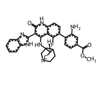 COC(=O)c1ccc(-c2ccc3[nH]c(=O)c(-c4nc5ccccc5[nH]4)c(N[C@H]4CN5CCC4CC5)c3c2F)c(N)c1